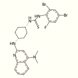 CN(C)c1cc(N[C@H]2CC[C@@H](NC(=S)Nc3c(F)cc(Br)cc3Br)CC2)nc2ccccc12